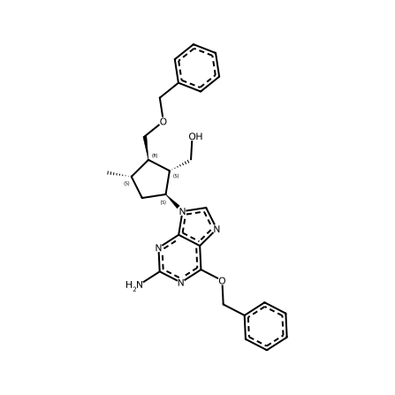 C[C@H]1C[C@H](n2cnc3c(OCc4ccccc4)nc(N)nc32)[C@@H](CO)[C@@H]1COCc1ccccc1